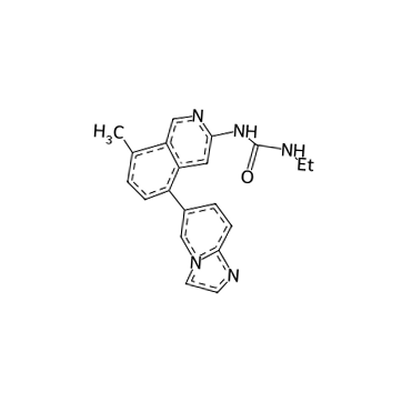 CCNC(=O)Nc1cc2c(-c3ccc4nccn4c3)ccc(C)c2cn1